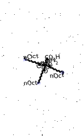 CCCCCCCC/C=C\CCCCCCCC(=O)OCC(COC(=O)CCCCCCC/C=C\CCCCCCCC)(COC(=O)CCCCCCC/C=C\CCCCCCCC)NC(=O)CC(N)C(=O)O